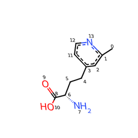 Cc1cc(CC[C@H](N)C(=O)O)ccn1